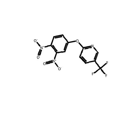 O=[N+]([O-])c1ccc(Oc2ccc(C(F)(F)F)cn2)cc1[N+](=O)[O-]